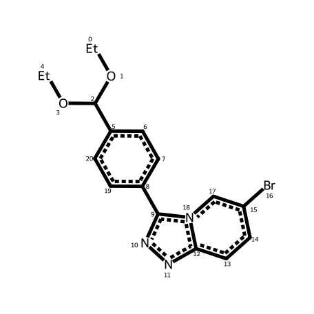 CCOC(OCC)c1ccc(-c2nnc3ccc(Br)cn23)cc1